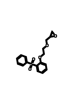 O=S(=O)(c1ccccc1)c1ccccc1OCCOCC1CO1